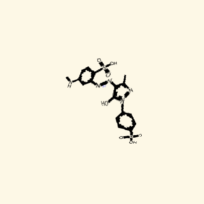 CNc1ccc(S(=O)(=O)O)c(/N=N/c2c(C)nn(-c3ccc(S(=O)(=O)O)cc3)c2O)c1